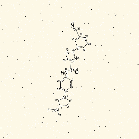 CN(C)C1CCN(c2ccc(NC(=O)c3csc(-c4cccc(C#N)c4)n3)cc2)C1